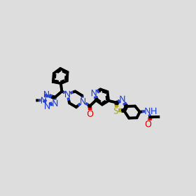 CC(=O)NC1CCc2sc(-c3ccnc(C(=O)N4CCN(C(c5ccccc5)c5nnn(C)n5)CC4)c3)nc2C1